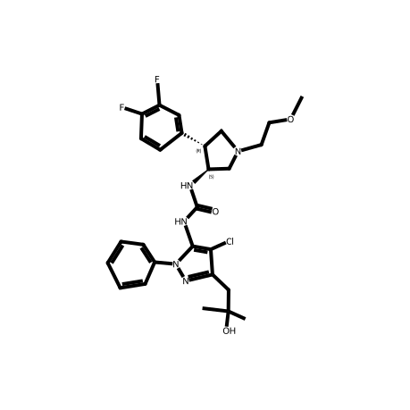 COCCN1C[C@@H](NC(=O)Nc2c(Cl)c(CC(C)(C)O)nn2-c2ccccc2)[C@H](c2ccc(F)c(F)c2)C1